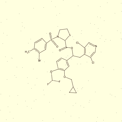 Cc1ccc(S(=O)(=O)N2CCSC2C(=O)OC(Cc2c(Cl)cncc2Cl)c2ccc(OC(F)F)c(OCC3CC3)c2)cc1Br